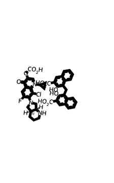 O=C(O)Oc1cn(C2CC2)c2c(Cl)c(N3C[C@@H]4CCCN[C@@H]4C3)c(F)cc2c1=O.O=C(O)c1cc2ccccc2c(Cc2c(O)c(C(=O)O)cc3ccccc23)c1O